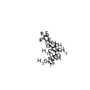 Cc1csc(NC(=O)C(=O)c2c(C)c(C(=O)Nc3cc(F)c(F)c(F)c3)c(C)n2C)n1